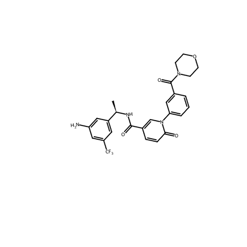 C[C@@H](NC(=O)c1ccc(=O)n(-c2cccc(C(=O)N3CCOCC3)c2)c1)c1cc(N)cc(C(F)(F)F)c1